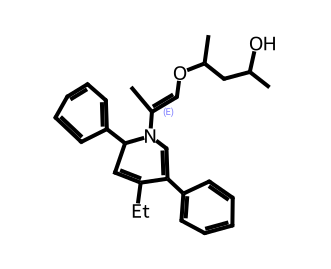 CCC1=CC(c2ccccc2)N(/C(C)=C/OC(C)CC(C)O)C=C1c1ccccc1